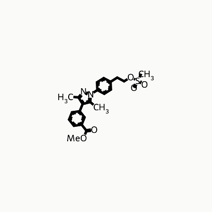 COC(=O)c1cccc(-c2c(C)nn(-c3ccc(CCOS(C)(=O)=O)cc3)c2C)c1